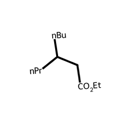 CCCCC(CCC)CC(=O)OCC